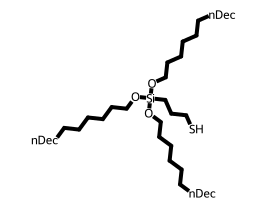 CCCCCCCCCCCCCCCCO[Si](CCCS)(OCCCCCCCCCCCCCCCC)OCCCCCCCCCCCCCCCC